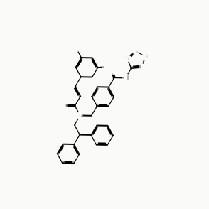 O=C(Nc1nn[nH]n1)c1ccc(CN(CC(c2ccccc2)c2ccccc2)C(=O)/C=C/C2C=C(C(F)(F)F)C=C(F)C2)cc1